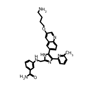 Cc1cccc(-c2nc(CNc3cccc(C(N)=O)c3)[nH]c2-c2ccc3ncc(OCCCCN)cc3c2)n1